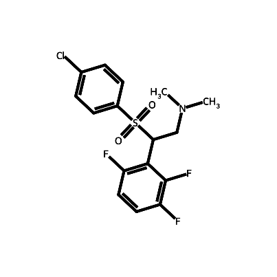 CN(C)CC(c1c(F)ccc(F)c1F)S(=O)(=O)c1ccc(Cl)cc1